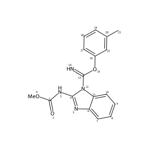 COC(=O)Nc1nc2ccccc2n1C(=N)Oc1cccc(C)c1